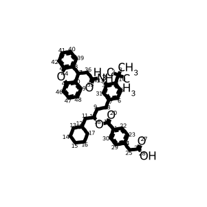 CC(C)(C)c1ccc(CCC(CC2CCCCC2)OC(=O)c2ccc(CC(=O)O)cc2)cc1NC(=O)CC1c2ccccc2Oc2ccccc21